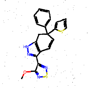 COc1nsnc1-c1n[nH]c2c1C=CC(c1ccccc1)(c1cccs1)C2